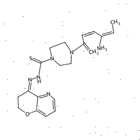 C=C(/C=C\C(N)=C/C)N1CCN(C(=S)N/N=C2/CCOc3cccnc32)CC1